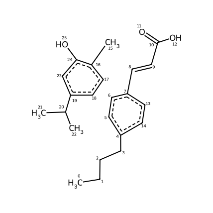 CCCCc1ccc(C=CC(=O)O)cc1.Cc1ccc(C(C)C)cc1O